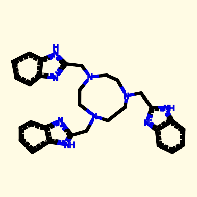 c1ccc2[nH]c(CN3CCN(Cc4nc5ccccc5[nH]4)CCN(Cc4nc5ccccc5[nH]4)CC3)nc2c1